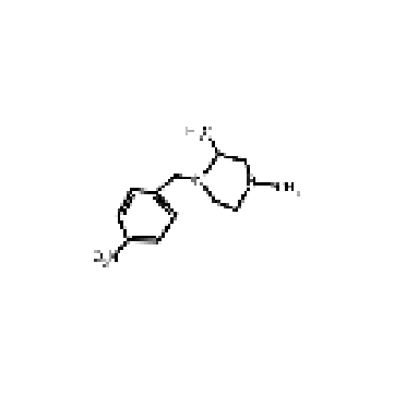 CC1CN(C)CCN1Cc1ccc([N+](=O)[O-])cc1